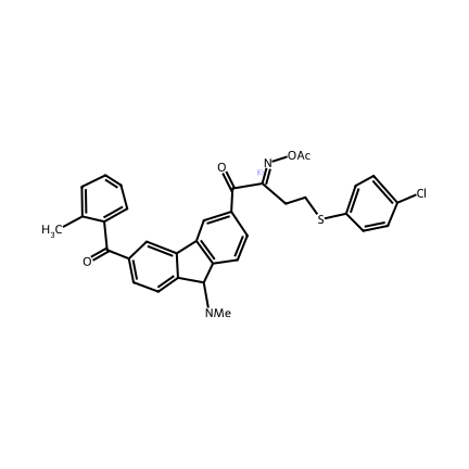 CNC1c2ccc(C(=O)/C(CCSc3ccc(Cl)cc3)=N/OC(C)=O)cc2-c2cc(C(=O)c3ccccc3C)ccc21